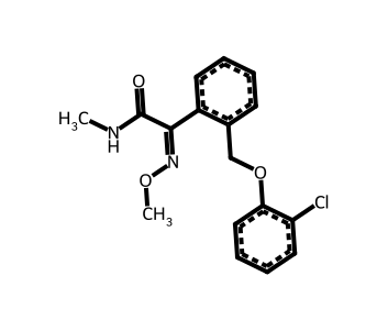 CNC(=O)C(=NOC)c1ccccc1COc1ccccc1Cl